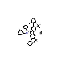 Cc1ccccc1-c1cc2c(cc1C(C)(C)C)-c1cc(C(C)(C)C)c(-c3ccccc3C)cc1[CH]2/[Zr+2](=[CH]/c1ccccc1)[C]1=CC=CC1.[Cl-].[Cl-]